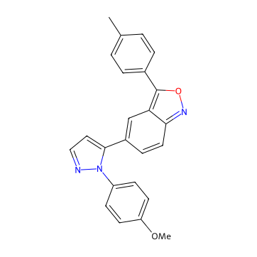 COc1ccc(-n2nccc2-c2ccc3noc(-c4ccc(C)cc4)c3c2)cc1